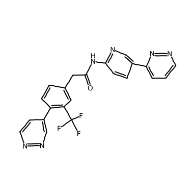 O=C(Cc1ccc(-c2ccnnc2)c(C(F)(F)F)c1)Nc1ccc(-c2cccnn2)cn1